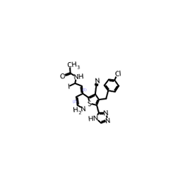 CC(=O)NC(I)/C=C(\C=C/N)c1sc(-c2nnc[nH]2)c(Cc2ccc(Cl)cc2)c1C#N